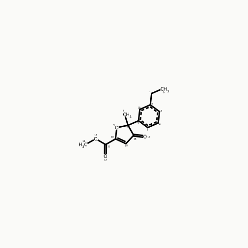 CCc1cccc(C2(C)OC(C(=O)OC)=CC2=O)c1